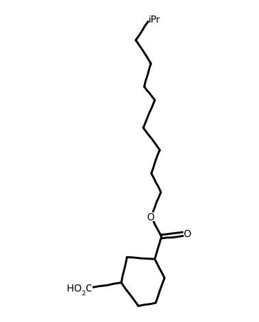 CC(C)CCCCCCCCOC(=O)C1CCCC(C(=O)O)C1